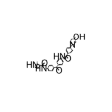 O=C(Nc1ccc(C(=O)c2ccc(NC(=O)c3cc[nH]c3)cc2)cc1)c1ccc(N2CCC(O)CC2)cc1